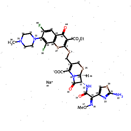 CCOC(=O)c1c(SCC2=C(C(=O)[O-])N3C(=O)[C@@H](NC(=O)/C(=N\OC)c4csc(N)n4)[C@@H]3SC2)sc2c(F)c(N3CCN(C)CC3)c(F)cc2c1=O.[Na+]